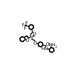 Nc1ccccc1NC(=O)c1ccc(OCC[N+](C=O)(CCc2cccc(C(F)(F)F)c2)c2cc3ccccc3o2)cc1